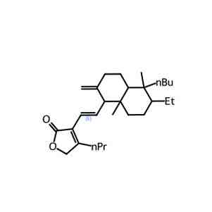 C=C1CCC2C(C)(CCCC)C(CC)CCC2(C)C1/C=C/C1=C(CCC)COC1=O